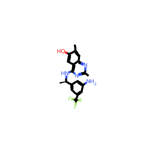 Cc1nc(N[C@H](C)c2cc(N)cc(C(F)(F)F)c2)c2cc(O)c(C)cc2n1